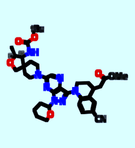 COC(=O)CC1CCN(c2nn(C3CCCCO3)c3nc(N4CCC5(CC4)CO[C@@H](C)[C@H]5NC(=O)OC(C)(C)C)cnc23)c2ccc(C#N)cc21